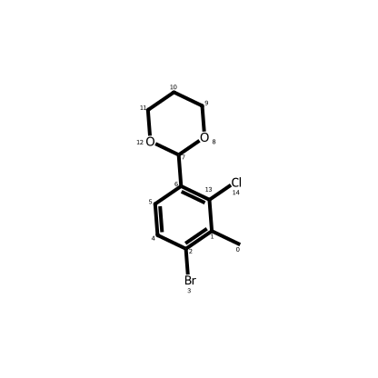 Cc1c(Br)ccc(C2OCCCO2)c1Cl